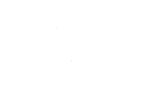 CCN(C(=O)c1cc(F)ccc1Oc1cncnc1N1CC2(CCN(C(=O)[C@]3(N)CCCN3)CC2)C1)C(C)C